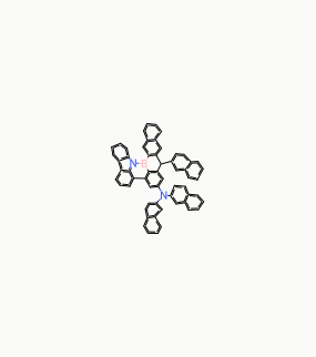 c1ccc2cc(C3c4cc5ccccc5cc4B4c5c(cc(N(c6ccc7ccccc7c6)c6ccc7ccccc7c6)cc53)-c3cccc5c6ccccc6n4c35)ccc2c1